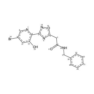 O=C(Cc1nc(-c2ncc(Br)cc2O)no1)NCc1ccccc1